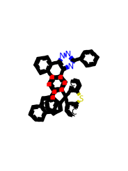 c1ccc(-c2nnc(-c3ccccc3-c3ccc4c(c3)-c3ccccc3C43c4ccccc4Sc4ccccc43)c(-c3ccc(-c4ccc5ccccc5c4)cc3)n2)cc1